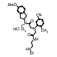 CCNCCNC(=O)CN(CC(=O)N(C)C1Cc2ccc(OC)cc2C1)c1cc(C#N)ccc1C.Cl